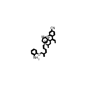 C=C(/C=C\C=C/NC(C)CC(/C(=C\C)c1ccc(C#N)cc1SC)[C@]1(C)C=CCCC1)COc1ccccc1N